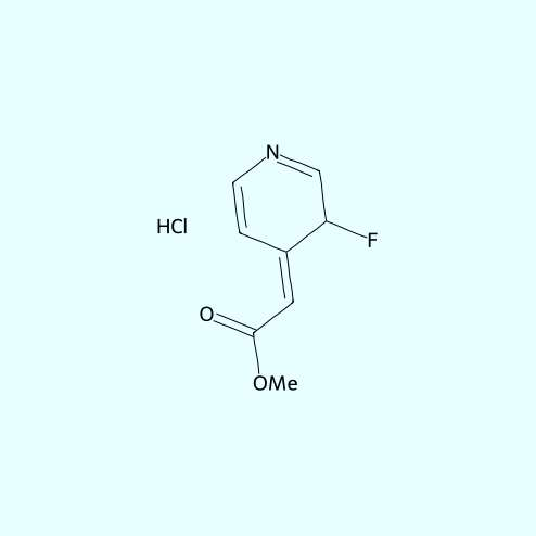 COC(=O)/C=C1\C=CN=CC1F.Cl